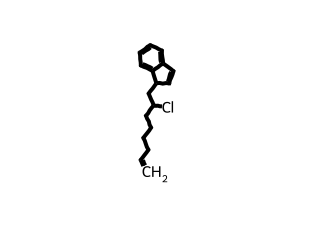 C=CCCCCC(Cl)CC1C=Cc2ccccc21